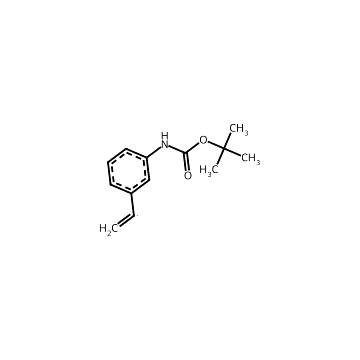 C=[C]c1cccc(NC(=O)OC(C)(C)C)c1